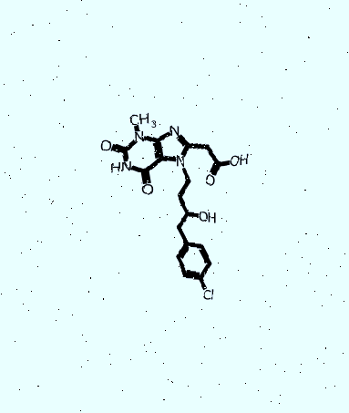 Cn1c(=O)[nH]c(=O)c2c1nc(CC(=O)O)n2CCC(O)Cc1ccc(Cl)cc1